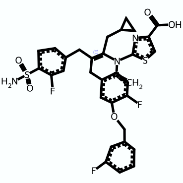 C=NN(/C(CC1CC1)=C(/Cc1ccc(S(N)(=O)=O)c(F)c1)Cc1ccc(F)c(OCc2cccc(F)c2)c1)c1nc(C(=O)O)cs1